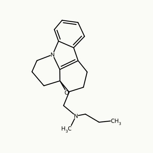 CCCN(C)CCC12CCCn3c1c(c1ccccc13)CCO2